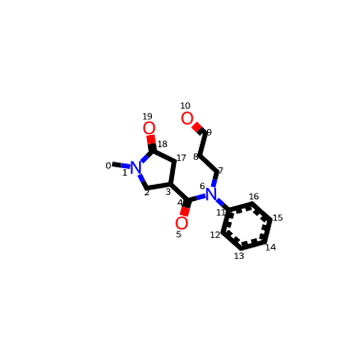 CN1CC(C(=O)N(CCC=O)c2ccccc2)CC1=O